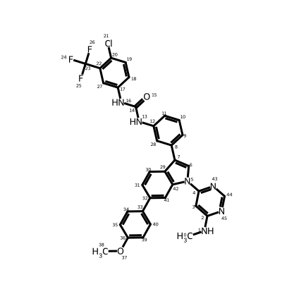 CNc1cc(-n2cc(-c3cccc(NC(=O)Nc4ccc(Cl)c(C(F)(F)F)c4)c3)c3ccc(-c4ccc(OC)cc4)cc32)ncn1